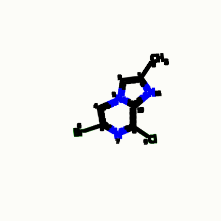 Cc1cn2cc(Br)nc(Cl)c2n1